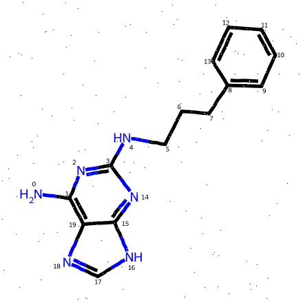 Nc1nc(NCCCc2ccccc2)nc2[nH]cnc12